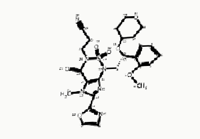 COc1ccccc1[C@H](CN1c2nc(-c3ncco3)n(C)c2C(=O)N(CCC#N)S1(=O)=O)OC1CCOCC1